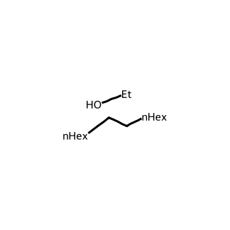 CCCCCCCCCCCCCC.CCO